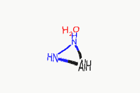 O.[NH]1[NH][AlH]1